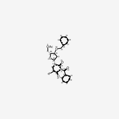 CC(=O)OC[C@H]1O[C@@H](n2cc(F)c(=O)n(C(=O)c3ccccc3)c2=O)C[C@@H]1OCc1ccccc1